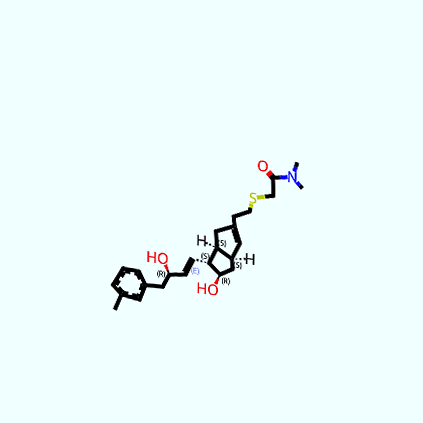 Cc1cccc(C[C@@H](O)/C=C/[C@@H]2[C@H]3CC(CCSCC(=O)N(C)C)=C[C@H]3C[C@H]2O)c1